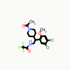 COc1cc(Cl)c(Cl)cc1C(CNC(=O)C(F)(F)F)C1CCN(C(C)=O)CC1